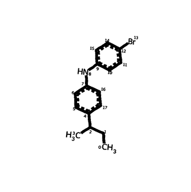 CCC(C)c1ccc(Nc2ccc(Br)cc2)cc1